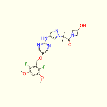 COc1cc(OC)c(F)c(COc2cnc(Nc3cnn(C(C)(C)C(=O)N4CC(O)C4)c3)nc2)c1F